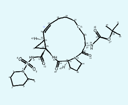 CC1CCCCN1S(=O)(=O)NC(=O)[C@@]12C[C@H]1/C=C\CCCCC[C@H](NC(=O)OC(C)(C)C)C(=O)N1CCC[C@H]1C(=O)N2